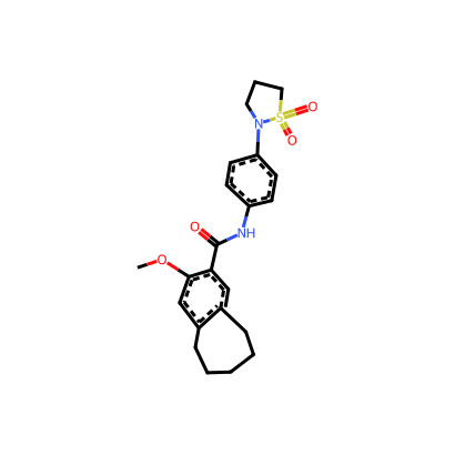 COc1cc2c(cc1C(=O)Nc1ccc(N3CCCS3(=O)=O)cc1)CCCCC2